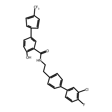 O=C(NCCc1ccc(-c2ccc(F)c(Cl)c2)cc1)c1cc(-c2ccc(C(F)(F)F)cc2)ccc1O